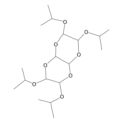 CC(C)OC1OC2OC(OC(C)C)C(OC(C)C)OC2OC1OC(C)C